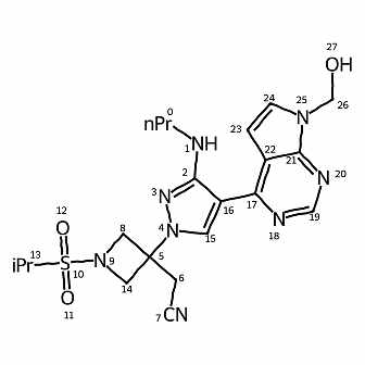 CCCNc1nn(C2(CC#N)CN(S(=O)(=O)C(C)C)C2)cc1-c1ncnc2c1ccn2CO